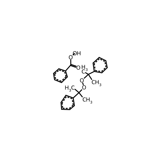 CC(C)(OOC(C)(C)c1ccccc1)c1ccccc1.O=C(OO)c1ccccc1